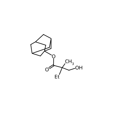 CCC(C)(CO)C(=O)OC12CC3CC(CC(C3)C1)C2